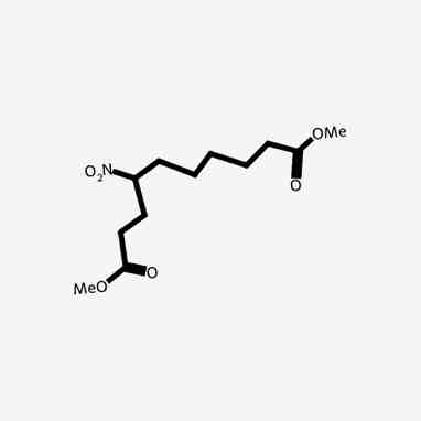 COC(=O)CCCCCC(CCC(=O)OC)[N+](=O)[O-]